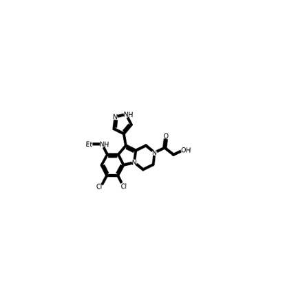 CCNc1cc(Cl)c(Cl)c2c1c(-c1cn[nH]c1)c1n2CCN(C(=O)CO)C1